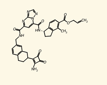 C=CCOC(=O)c1ccc2c(c1C)CC[C@@H]2NC(=O)c1cc(C(=O)NCc2ccc3c(c2)CC(c2c(N)c(=O)c2=O)CC3)nc2ncnn12